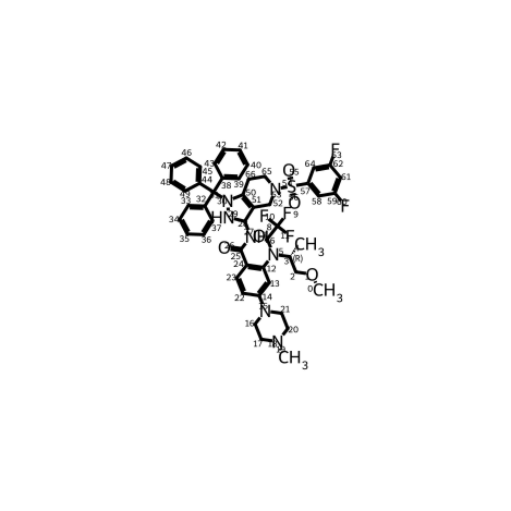 COC[C@@H](C)N(C(=O)C(F)(F)F)c1cc(N2CCN(C)CC2)ccc1C(=O)NC1NN(C(c2ccccc2)(c2ccccc2)c2ccccc2)C2=C1CN(S(=O)(=O)c1cc(F)cc(F)c1)CC2